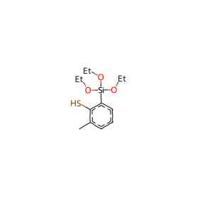 CCO[Si](OCC)(OCC)c1cccc(C)c1S